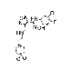 O=S1(=O)CCN(CCNCc2nonc2C(=NO)Nc2ccc(F)c(Cl)c2)CC1